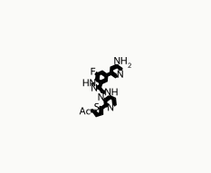 CC(=O)c1ccc(-c2nccc3[nH]c(-c4n[nH]c5c(F)cc(-c6cncc(N)c6)cc45)nc23)s1